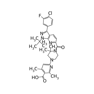 Cc1cc(N2CCN(C(=O)c3ccc4c(-c5ccc(Cl)c(F)c5)nn(C(C)(C)C)c4n3)C(C)(C)C2)nc(C)c1C(=O)O